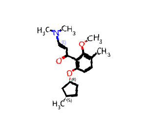 COc1c(C)ccc(O[C@@H]2CC[C@H](C)C2)c1C(=O)/C=C/N(C)C